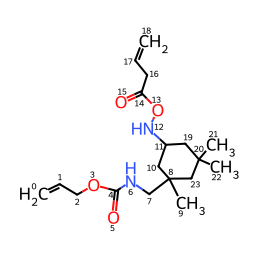 C=CCOC(=O)NCC1(C)CC(NOC(=O)CC=C)CC(C)(C)C1